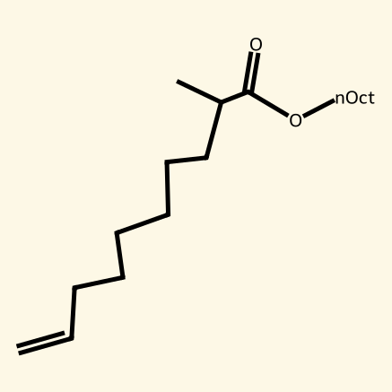 C=CCCCCCCC(C)C(=O)OCCCCCCCC